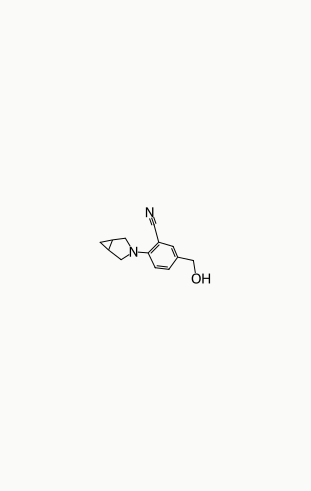 N#Cc1cc(CO)ccc1N1CC2CC2C1